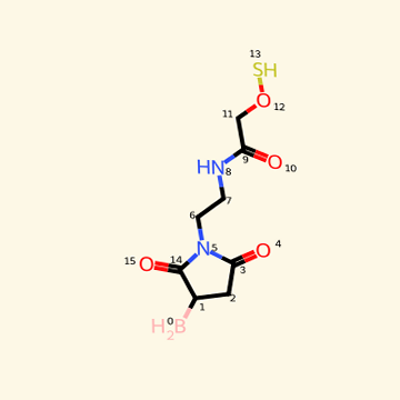 BC1CC(=O)N(CCNC(=O)COS)C1=O